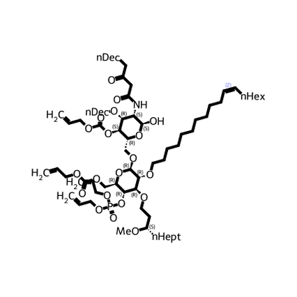 C=CCOC(=O)OC[C@H]1O[C@@H](OC[C@H]2O[C@H](O)[C@@H](NC(=O)CC(=O)CCCCCCCCCCC)[C@@H](OCCCCCCCCCC)[C@@H]2OC(=O)OCC=C)[C@H](OCCCCCCCCCC/C=C\CCCCCC)[C@@H](OCC[C@H](CCCCCCC)OC)[C@@H]1OP(=O)(OCC=C)OCC=C